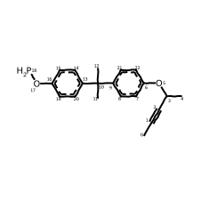 CC#CC(C)Oc1ccc(C(C)(C)c2ccc(OP)cc2)cc1